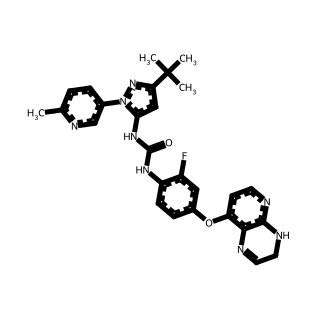 Cc1ccc(-n2nc(C(C)(C)C)cc2NC(=O)Nc2ccc(Oc3ccnc4c3N=CCN4)cc2F)cn1